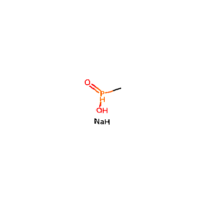 C[PH](=O)O.[NaH]